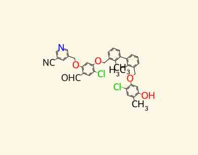 Cc1cc(Cl)c(OCc2cccc(-c3cccc(COc4cc(OCc5cncc(C#N)c5)c(C=O)cc4Cl)c3C)c2C)cc1O